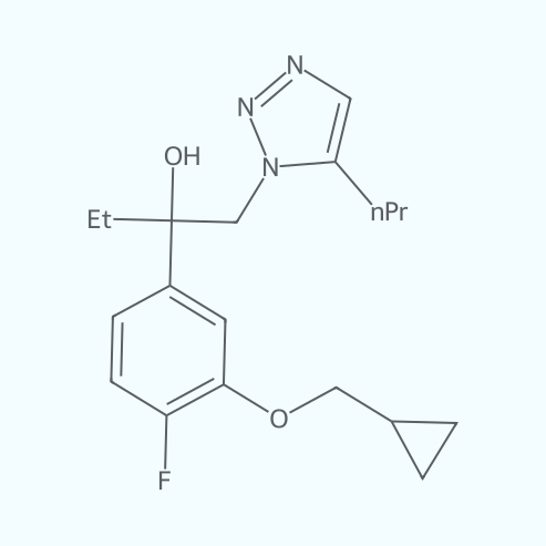 CCCc1cnnn1CC(O)(CC)c1ccc(F)c(OCC2CC2)c1